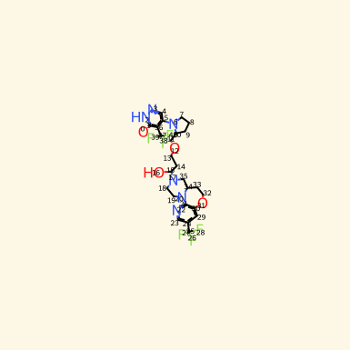 O=c1[nH]ncc(N2CCCC2COCCC(O)N2CCN3c4ncc(C(F)(F)F)cc4OCCC3C2)c1C(F)(F)F